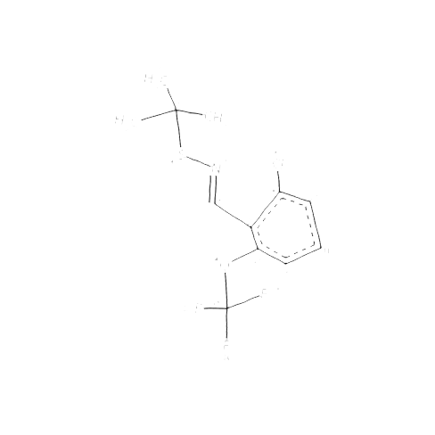 CC(C)(C)SN=Cc1c(Cl)cccc1OC(F)(F)F